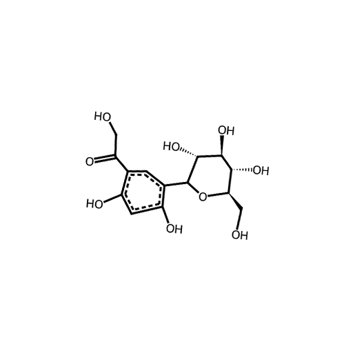 O=C(CO)c1cc(C2O[C@H](CO)[C@@H](O)[C@H](O)[C@H]2O)c(O)cc1O